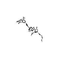 CCCCCC#Cc1cc(F)c(-c2cc3sc(C#Cc4cc(F)c(N=C=S)c(F)c4)cc3s2)c(F)c1